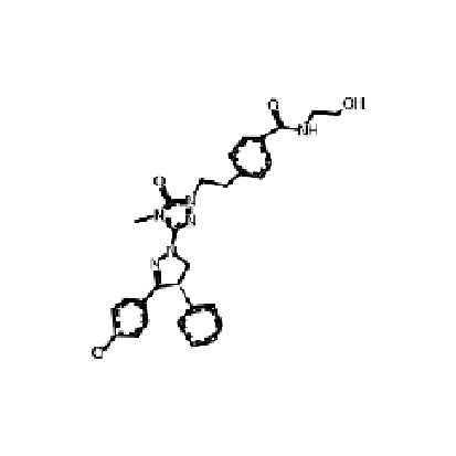 Cn1c(N2C[C@@H](c3ccccc3)C(c3ccc(Cl)cc3)=N2)nn(CCc2ccc(C(=O)NCCO)cc2)c1=O